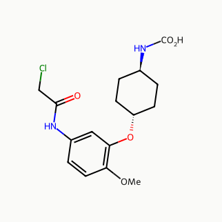 COc1ccc(NC(=O)CCl)cc1O[C@H]1CC[C@H](NC(=O)O)CC1